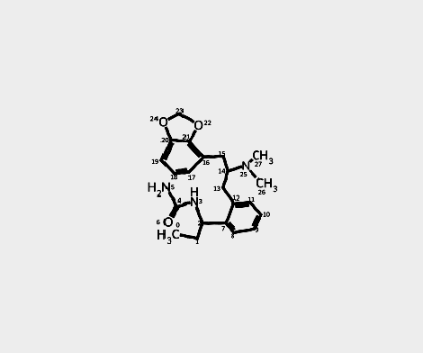 CCC(NC(N)=O)c1ccccc1CC(Cc1cccc2c1OCO2)N(C)C